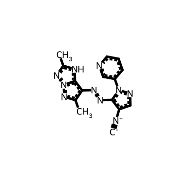 [C-]#[N+]c1cnn(-c2cccnc2)c1/N=N/c1c(C)nn2nc(C)[nH]c12